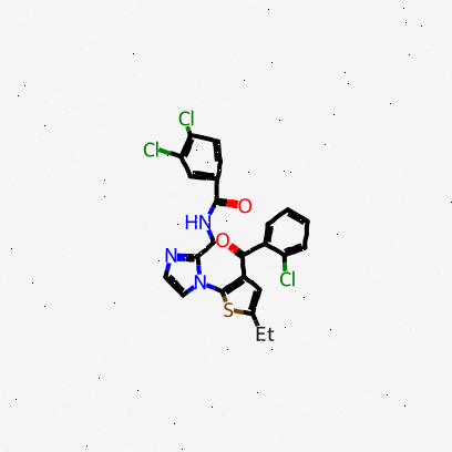 CCc1cc(C(=O)c2ccccc2Cl)c(-n2ccnc2CNC(=O)c2ccc(Cl)c(Cl)c2)s1